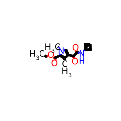 CCOC(=O)c1c(C)c(C(=O)C(=O)NC23CC(C2)C3)cn1C